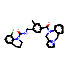 Cc1cc(C(=O)N2Cc3cccn3Cc3ccccc32)ccc1CNC(=O)N1CCCc2cccc(F)c21